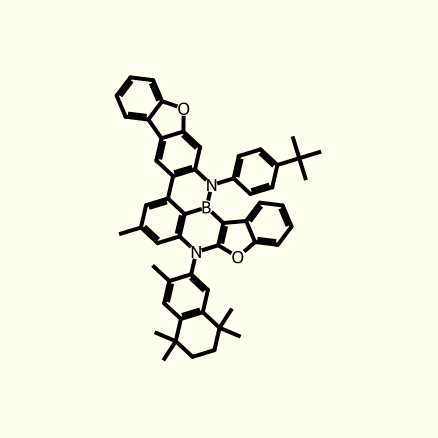 Cc1cc2c3c(c1)N(c1cc4c(cc1C)C(C)(C)CCC4(C)C)c1oc4ccccc4c1B3N(c1ccc(C(C)(C)C)cc1)c1cc3oc4ccccc4c3cc1-2